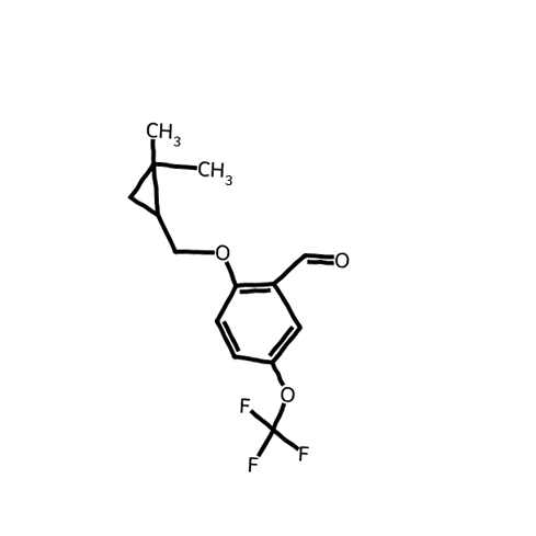 CC1(C)CC1COc1ccc(OC(F)(F)F)cc1C=O